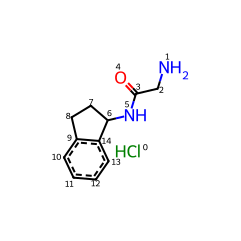 Cl.NCC(=O)NC1CCc2ccccc21